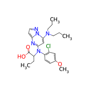 CCCN(CCC)c1cc(N(c2ccc(OC)cc2Cl)C(CC)C(=O)O)nc2ccnn12